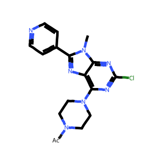 CC(=O)N1CCN(c2nc(Cl)nc3c2nc(-c2ccncc2)n3C)CC1